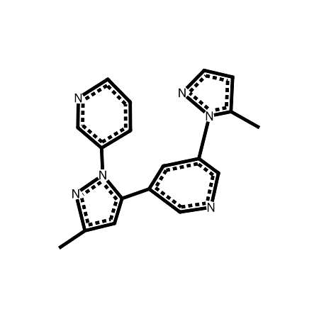 Cc1cc(-c2cncc(-n3nccc3C)c2)n(-c2cccnc2)n1